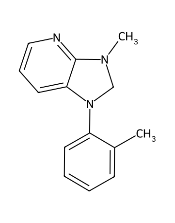 Cc1ccccc1N1CN(C)c2ncccc21